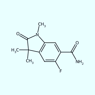 CN1C(=O)C(C)(C)c2cc(F)c(C(N)=O)cc21